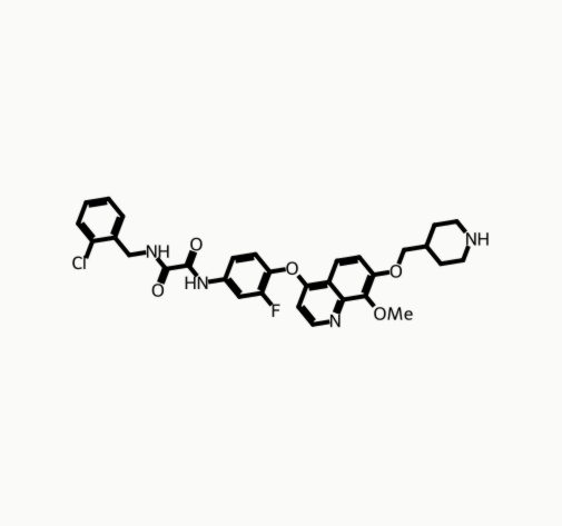 COc1c(OCC2CCNCC2)ccc2c(Oc3ccc(NC(=O)C(=O)NCc4ccccc4Cl)cc3F)ccnc12